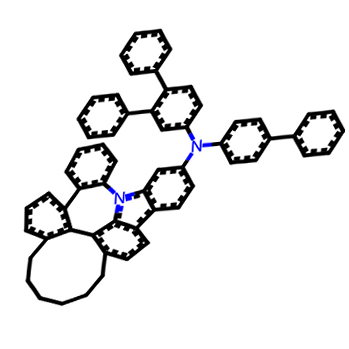 c1ccc(-c2ccc(N(c3ccc(-c4ccccc4)c(-c4ccccc4)c3)c3ccc4c5ccc6c7c5n(c4c3)-c3ccccc3-c3cccc(c3-7)CCCCCC6)cc2)cc1